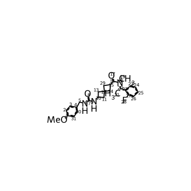 COc1ccc(CNC(=O)NC2CC3(C2)CC(C(=O)N(C)[C@@H](C)c2ccccc2F)C3)cc1